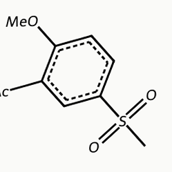 COc1ccc(S(C)(=O)=O)cc1C(C)=O